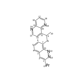 CC(C)c1cc2cccc(CC(C)c3ccnc4cccnc34)c2nn1